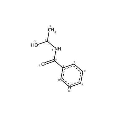 CC(O)NC(=O)c1cccnc1